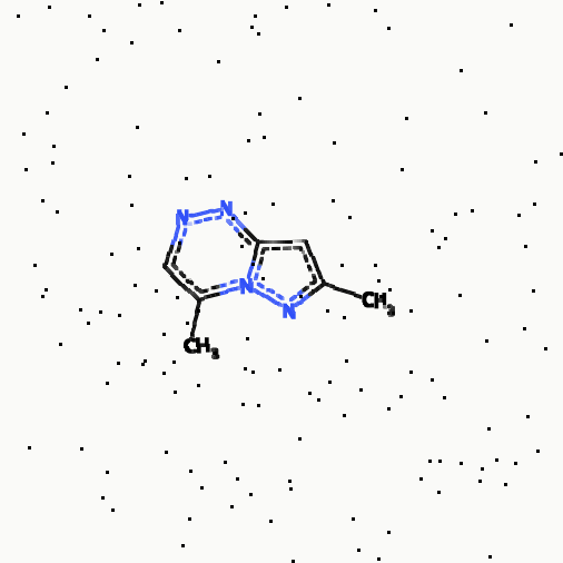 Cc1cc2nncc(C)n2n1